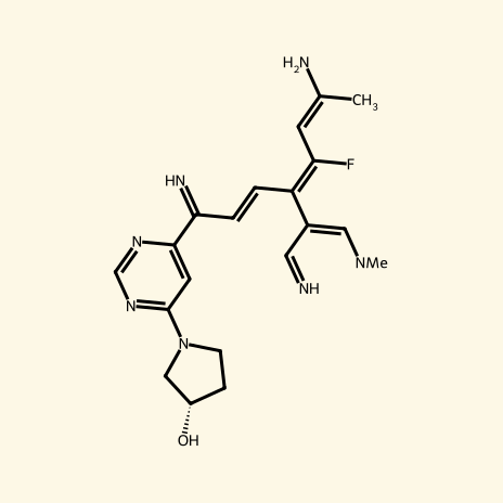 CN/C=C(C=N)/C(/C=C/C(=N)c1cc(N2CC[C@H](O)C2)ncn1)=C(F)/C=C(\C)N